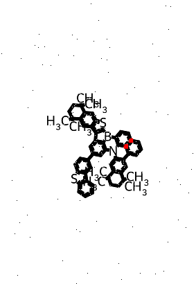 CC1(C)CCC(C)(C)c2cc(N3c4ccccc4B4c5sc6cc7c(cc6c5-c5cc(-c6ccc8sc9ccccc9c8c6)cc3c54)C(C)(C)CCC7(C)C)c(-c3ccccc3)cc21